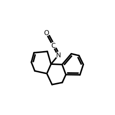 O=C=NC12CC=CCC1CCc1ccccc12